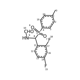 Cc1ccc(S(=O)(=O)C(NC=O)c2ccc(F)cc2F)cc1